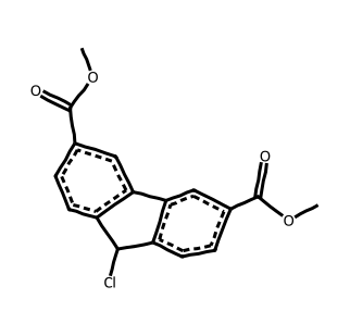 COC(=O)c1ccc2c(c1)-c1cc(C(=O)OC)ccc1C2Cl